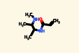 C=CC(=O)NC(C)C(C)NC